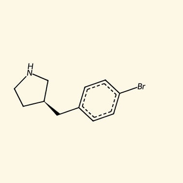 Brc1ccc(C[C@H]2CCNC2)cc1